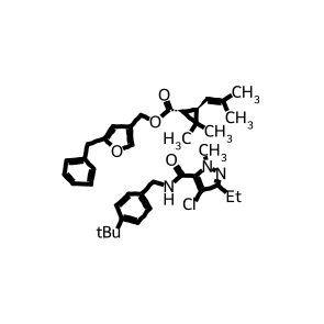 CC(C)=C[C@@H]1[C@@H](C(=O)OCc2coc(Cc3ccccc3)c2)C1(C)C.CCc1nn(C)c(C(=O)NCc2ccc(C(C)(C)C)cc2)c1Cl